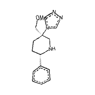 COC[C@@]1(n2cnnc2)CC[C@@H](c2ccccc2)NC1